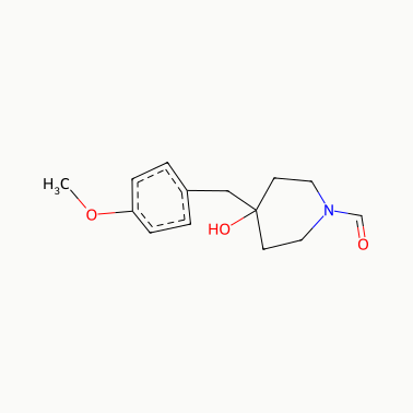 COc1ccc(CC2(O)CCN(C=O)CC2)cc1